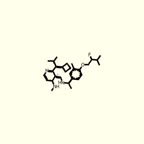 CNC1C=CN=C(C(=C2CCC2)C(C)C)/C1=C/NC(C)c1ccc(OCC(F)C(C)C)c(C)c1